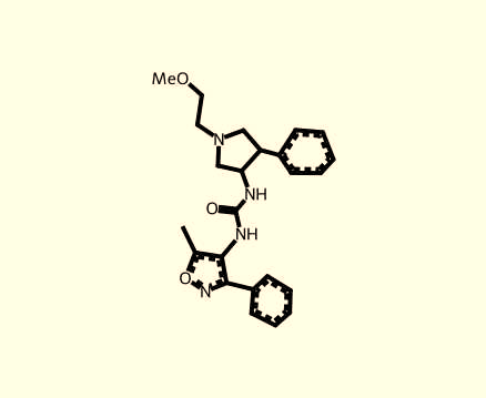 COCCN1CC(NC(=O)Nc2c(-c3ccccc3)noc2C)C(c2ccccc2)C1